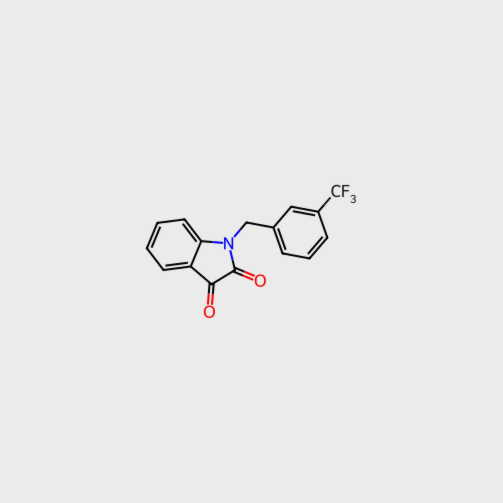 O=C1C(=O)N(Cc2cccc(C(F)(F)F)c2)c2ccccc21